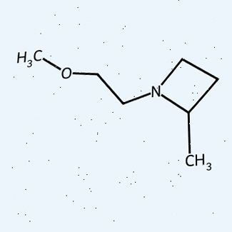 COCCN1CCC1C